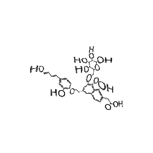 O=C(O)Cc1ccc2cc(CCOc3ccc(/C=C/C=C/O)cc3O)cc(OCC3OC(O)C(O)C(O)C3O)c(=O)c2c1O